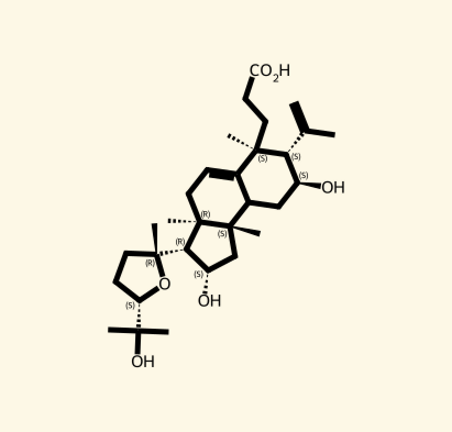 C=C(C)[C@@H]1[C@@H](O)CC2C(=CC[C@]3(C)[C@@H]([C@@]4(C)CC[C@@H](C(C)(C)O)O4)[C@@H](O)C[C@@]23C)[C@@]1(C)CCC(=O)O